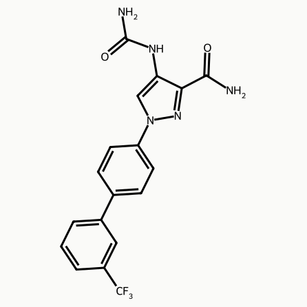 NC(=O)Nc1cn(-c2ccc(-c3cccc(C(F)(F)F)c3)cc2)nc1C(N)=O